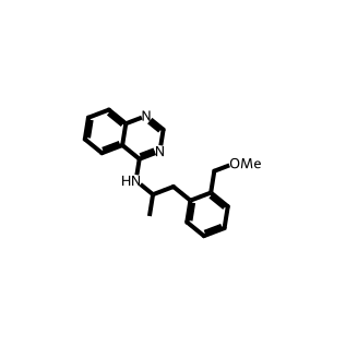 COCc1ccccc1CC(C)Nc1ncnc2ccccc12